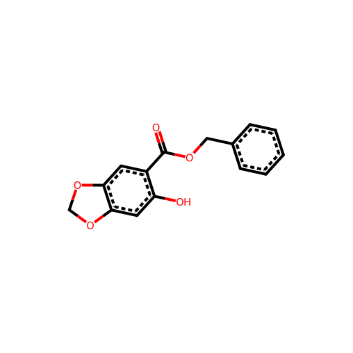 O=C(OCc1ccccc1)c1cc2c(cc1O)OCO2